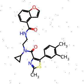 Cc1nc(C(=O)N(CCNC(=O)c2cccc3occc23)C2CC2)c(-c2ccc(C)c(C)c2)s1